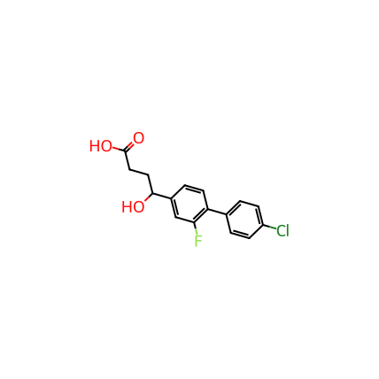 O=C(O)CCC(O)c1ccc(-c2ccc(Cl)cc2)c(F)c1